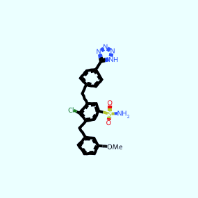 COc1cccc(Cc2cc(S(N)(=O)=O)cc(Cc3ccc(-c4nnn[nH]4)cc3)c2Cl)c1